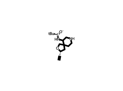 C#C[C@H]1CC2(CCNCC2N[S@+]([O-])C(C)(C)C)CO1